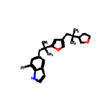 CC(C)c1cc(CC(C)(C)c2cc(CC(C)(C)C3CCOC3)co2)cc2cc[nH]c12